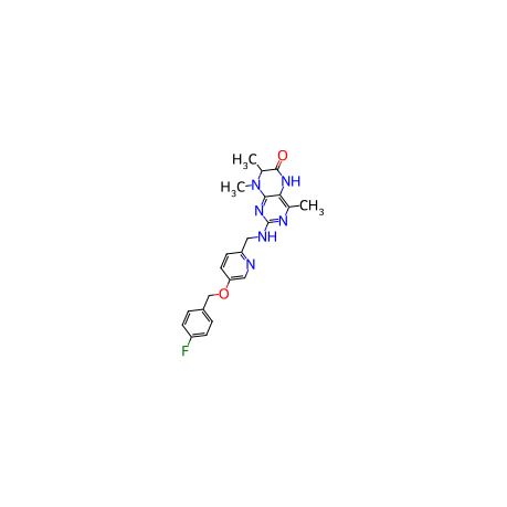 Cc1nc(NCc2ccc(OCc3ccc(F)cc3)cn2)nc2c1NC(=O)C(C)N2C